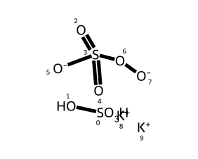 O=S(=O)(O)O.O=S(=O)([O-])O[O-].[K+].[K+]